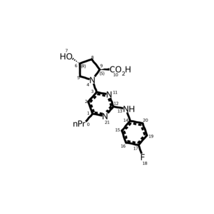 CCCc1cc(N2C[C@H](O)C[C@H]2C(=O)O)nc(Nc2ccc(F)cc2)n1